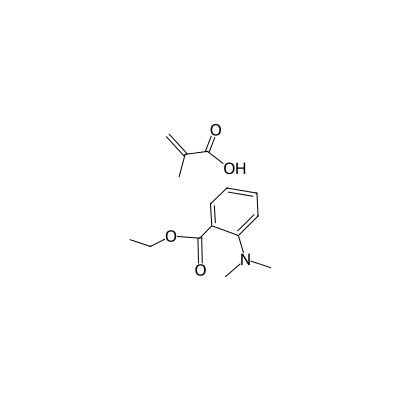 C=C(C)C(=O)O.CCOC(=O)c1ccccc1N(C)C